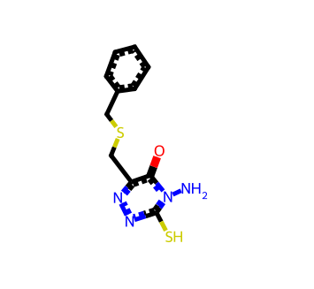 Nn1c(S)nnc(CSCc2ccccc2)c1=O